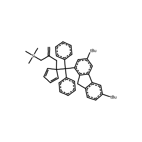 C=C(CC1(C(c2ccccc2)(c2ccccc2)c2cc(C(C)(C)C)cc3c2Cc2ccc(C(C)(C)C)cc2-3)C=CC=C1)C[Si](C)(C)C